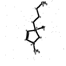 CCCC[N+]1(Br)C=CN(C)C1